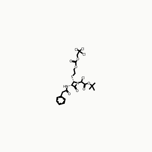 CC(C)(C)OC(=O)C(Cl)N1C(=O)[C@H](NC(=O)Cc2ccccc2)[C@@H]1SCCOC(=O)OCC(Cl)(Cl)Cl